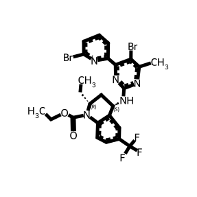 CCOC(=O)N1c2ccc(C(F)(F)F)cc2[C@@H](Nc2nc(C)c(Br)c(-c3cccc(Br)n3)n2)C[C@H]1CC